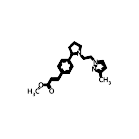 COC(=O)/C=C/c1ccc(C2CCCN2CCn2ccc(C)n2)cc1